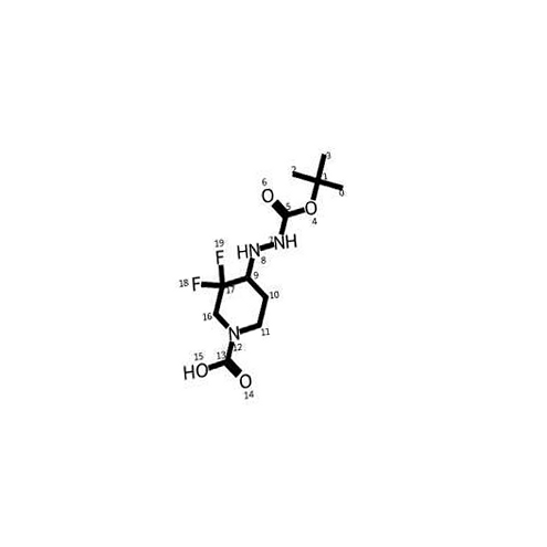 CC(C)(C)OC(=O)NNC1CCN(C(=O)O)CC1(F)F